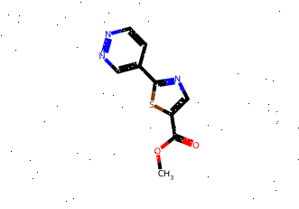 COC(=O)c1cnc(-c2ccnnc2)s1